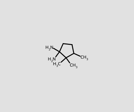 CC1CCC(N)(N)C1(C)C